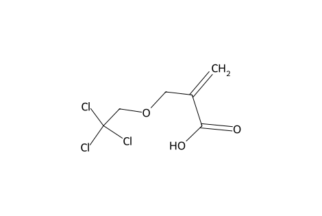 C=C(COCC(Cl)(Cl)Cl)C(=O)O